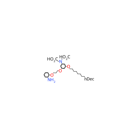 CCCCCCCCCCCCCCCCCCOc1cc(OCCCOc2ccccc2N)cc(N(CC(=O)O)CC(=O)O)c1